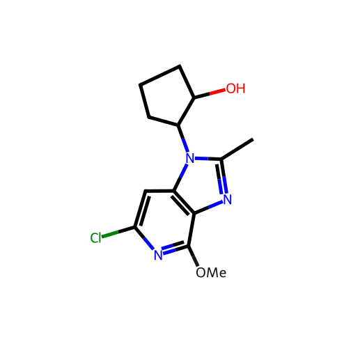 COc1nc(Cl)cc2c1nc(C)n2C1CCCC1O